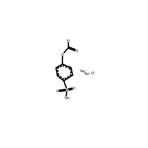 O=C([O-])Oc1ccc(S(=O)(=O)O)cc1.[Cl-].[Na+].[Na+]